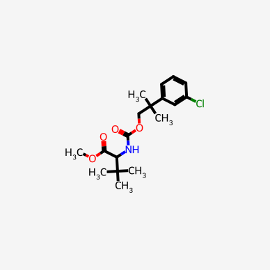 COC(=O)C(NC(=O)OCC(C)(C)c1cccc(Cl)c1)C(C)(C)C